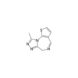 Cc1nnc2n1-c1sccc1C=NC2